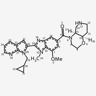 COc1cc(C(=O)N2CCO[C@@H]3CCNC[C@@H]32)cc2nc(-c3cc4cccnc4n3CC3CC3)n(C)c12